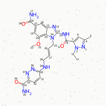 CCn1nc(C)cc1C(=O)Nc1nc2cc(C(N)=O)cc(OC)c2n1CC=CCNc1ccc(C(N)=O)nn1